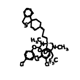 CN(C[C@](CCCC1CCC2(CC1)SCc1ccccc12)(c1ccc(Cl)c(Cl)c1)N(C)C(=O)Oc1ccc(Cl)cc1)C(=O)CC(F)(F)F